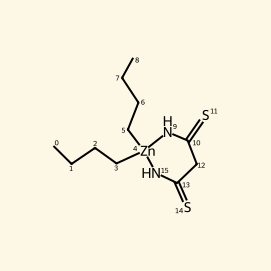 CCC[CH2][Zn]1([CH2]CCC)[NH]C(=S)CC(=S)[NH]1